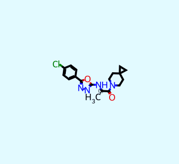 C[C@H](Nc1nnc(-c2ccc(Cl)cc2)o1)C(=O)N1CCC2(CC1)CC2